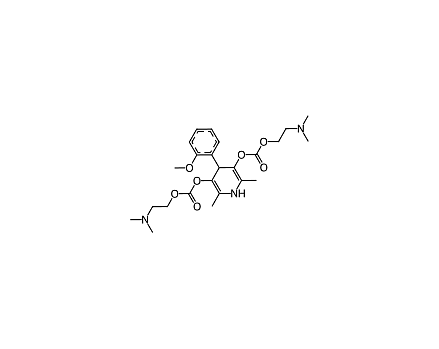 COc1ccccc1C1C(OC(=O)OCCN(C)C)=C(C)NC(C)=C1OC(=O)OCCN(C)C